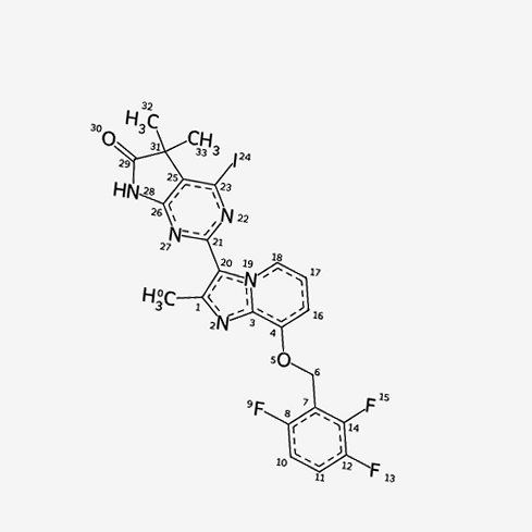 Cc1nc2c(OCc3c(F)ccc(F)c3F)cccn2c1-c1nc(I)c2c(n1)NC(=O)C2(C)C